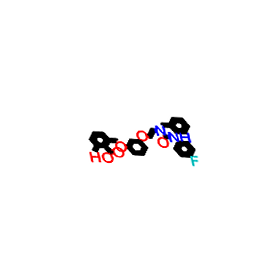 Cc1cccc(COC2CCC[C@H](OCCN(Cc3ccccc3)C(=O)Nc3ccc(F)cc3)C2)c1C(=O)O